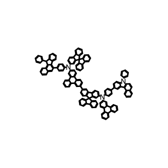 c1ccc(C2c3ccccc3-c3c(-c4ccc(N(c5ccc6c(c5)C5(c7ccccc7-c7ccccc75)c5ccccc5-6)c5ccc6c7ccc(-c8ccc9c(c8)-c8ccc(N(c%10ccc(-c%11ccc%12c(c%11)c%11c%13ccccc%13ccc%11n%12-c%11ccccc%11)cc%10)c%10ccc%11c%12ccccc%12c%12ccccc%12c%11c%10)cc8C98c9ccccc9-c9ccccc98)cc7c7ccccc7c6c5)cc4)cc4ccccc4c32)cc1